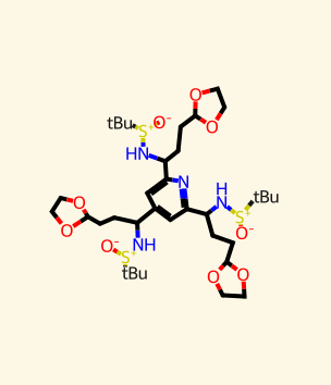 CC(C)(C)[S+]([O-])NC(CCC1OCCO1)c1cc(C(CCC2OCCO2)N[S+]([O-])C(C)(C)C)nc(C(CCC2OCCO2)N[S+]([O-])C(C)(C)C)c1